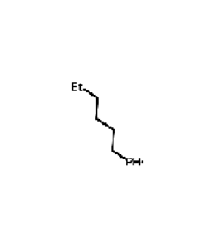 CCCCCC[PH]